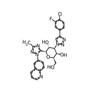 Cc1nc([C@@H]2O[C@H](CO)[C@H](O)[C@H](n3cc(-c4ccc(Cl)c(F)c4)nn3)[C@H]2O)n(-c2ccc3ncccc3c2)n1